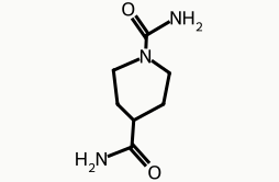 NC(=O)C1CCN(C(N)=O)CC1